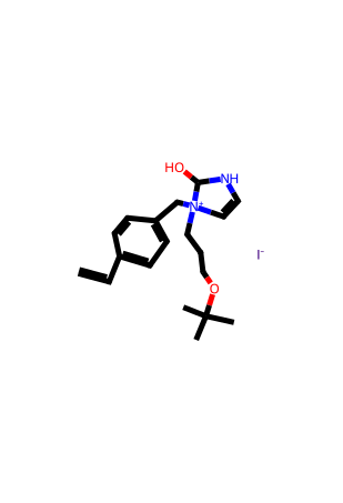 C=Cc1ccc(C[N+]2(CCCOC(C)(C)C)C=CNC2O)cc1.[I-]